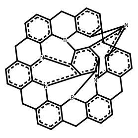 c1cc2c3c4c1Cc1ccc5c6c1B4c1c4c7c8c9c1n-6c1c(ccc6c1n9-c1c(ccc9c1B8c1c(ccc8c1-n7c1c(ccc(c1n4-3)C2)C8)C9)C6)C5